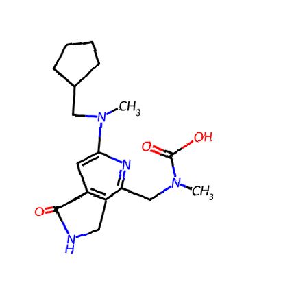 CN(Cc1nc(N(C)CC2CCCC2)cc2c1CNC2=O)C(=O)O